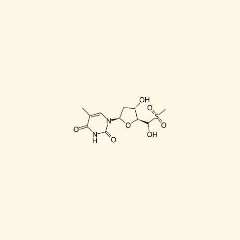 Cc1cn([C@H]2C[C@H](O)[C@@H](C(O)S(C)(=O)=O)O2)c(=O)[nH]c1=O